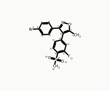 Cc1onc(-c2ccc(Br)cc2)c1-c1ccc(S(C)(=O)=O)c(F)c1